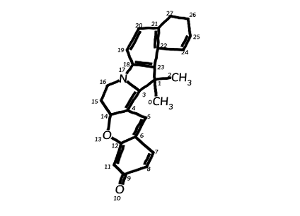 CC1(C)C2=C3C=C4C=CC(=O)C=C4OC3CCN2c2ccc3c(c21)C=CCC3